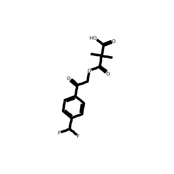 CC(C)(C(=O)O)C(=O)OCC(=O)c1ccc(C(F)F)cc1